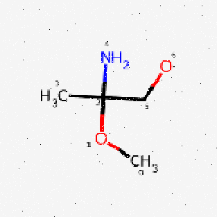 COC(C)(N)C[O]